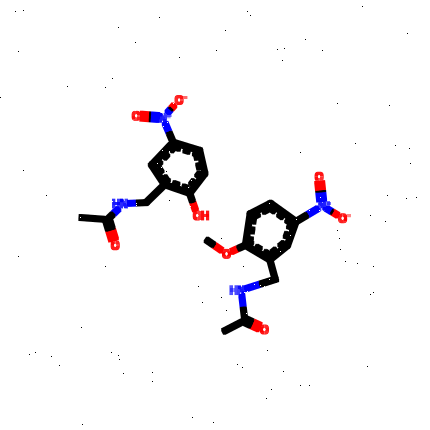 CC(=O)NCc1cc([N+](=O)[O-])ccc1O.COc1ccc([N+](=O)[O-])cc1CNC(C)=O